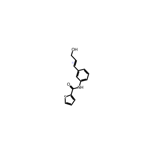 O=C(Nc1cccc(/C=C/CO)c1)c1cccs1